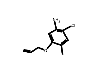 C=CCOc1cc(N)c(Cl)cc1C